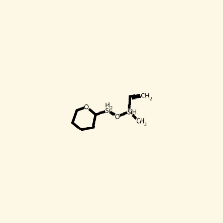 C=C[SiH](C)O[SiH2]C1CCCCO1